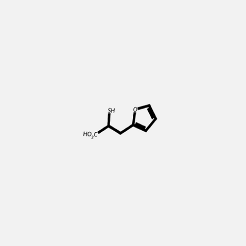 O=C(O)C(S)Cc1ccco1